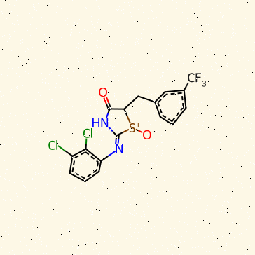 O=C1NC(=Nc2cccc(Cl)c2Cl)[S+]([O-])C1Cc1cccc(C(F)(F)F)c1